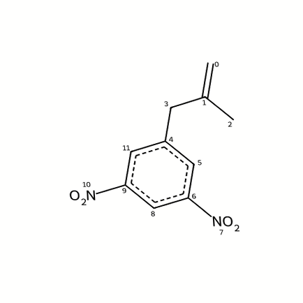 C=C(C)Cc1cc([N+](=O)[O-])cc([N+](=O)[O-])c1